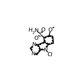 COc1ccc2c(c1S(N)(=O)=O)c1ncncc1n2Cl